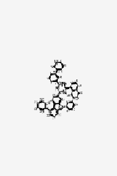 c1ccc(-c2cccc(-c3nc(-c4ccc5c(c4)oc4cccc(-c6ccccc6)c45)nc(-c4cccc5ccc(-c6ccccc6)cc45)n3)c2)cc1